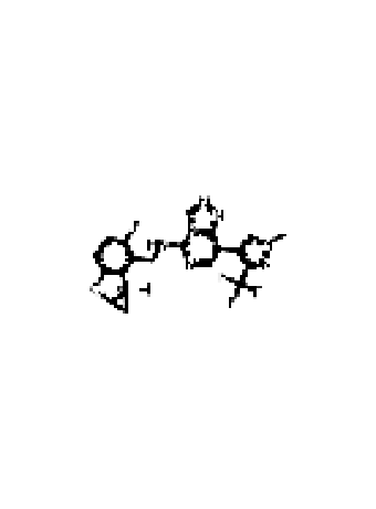 Cn1cc(-c2cnc(NCc3c(F)ccc4c3[C@H]3CC3O4)n3cnnc23)c(C(F)(F)F)n1